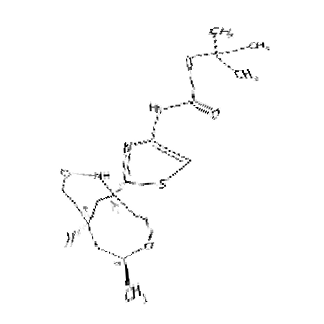 C[C@H]1C[C@H]2CON[C@@]2(c2nc(NC(=O)OC(C)(C)C)cs2)CO1